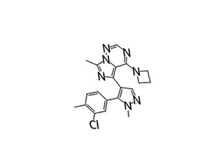 Cc1ccc(-c2c(-c3nc(C)n4ncnc(N5CCC5)c34)cnn2C)cc1Cl